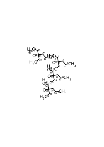 CCCC([O-])(CC)CC.CCCC([O-])(CC)CC.CCCC([O-])(CC)CC.CCCC([O-])(CC)CC.[Ti+4]